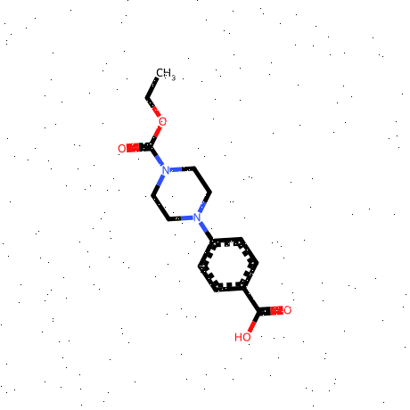 CCOC(=O)N1CCN(c2ccc(C(=O)O)cc2)CC1